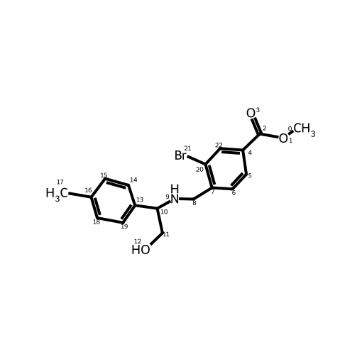 COC(=O)c1ccc(CNC(CO)c2ccc(C)cc2)c(Br)c1